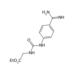 CCOC(=O)CNC(=O)Nc1ccc(C(=N)N)cc1